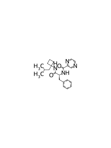 CC(C)CC1(NC(=O)[C@H](Cc2ccccc2)NC(=O)c2cnccn2)CCC1